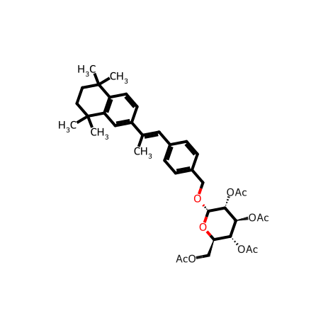 CC(=O)OC[C@H]1O[C@H](OCc2ccc(C=C(C)c3ccc4c(c3)C(C)(C)CCC4(C)C)cc2)[C@H](OC(C)=O)[C@@H](OC(C)=O)[C@@H]1OC(C)=O